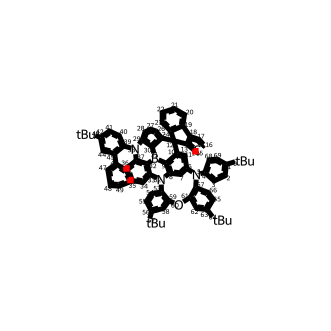 CC(C)(C)c1ccc(N2c3cc4c5c(c3)C3(c6ccccc6-c6ccccc63)c3cccc6c3B5c3c(cccc3N6c3ccc(C(C)(C)C)cc3-c3ccccc3)N4c3ccc(C(C)(C)C)cc3Oc3cc(C(C)(C)C)ccc32)cc1